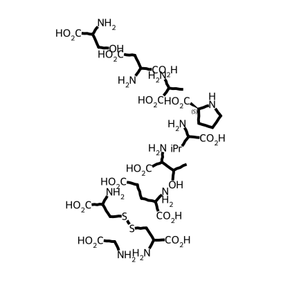 CC(C)C(N)C(=O)O.CC(N)C(=O)O.CC(O)C(N)C(=O)O.NC(CC(=O)O)C(=O)O.NC(CCC(=O)O)C(=O)O.NC(CO)C(=O)O.NC(CSSCC(N)C(=O)O)C(=O)O.NCC(=O)O.O=C(O)[C@@H]1CCCN1